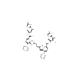 COc1c(NC(=O)c2ccc(N3CCNCC3)c3cc(CCc4nc5c(N6CCNCC6)ccc(C(=O)Nc6cc(F)c7nc(C)cn7c6)n5n4)nn23)cn2cc(C)nc2c1F